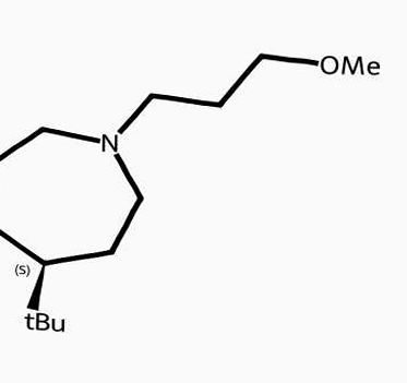 COCCCN1CCC[C@H](C(C)(C)C)CC1